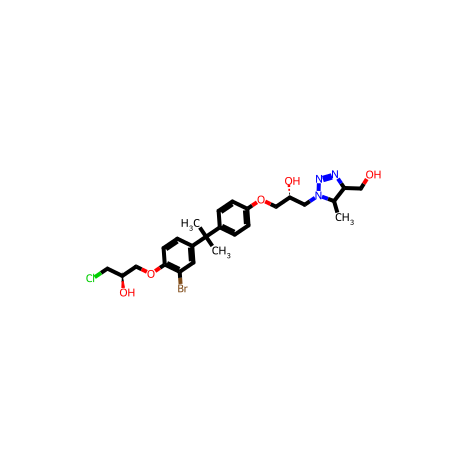 CC1C(CO)N=NN1C[C@@H](O)COc1ccc(C(C)(C)c2ccc(OC[C@@H](O)CCl)c(Br)c2)cc1